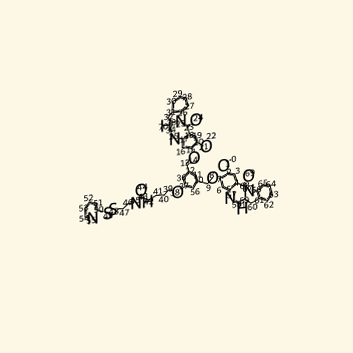 COc1cc2c(cc1OCc1cc(COc3cc4c(cc3OC)C(=O)N3c5ccccc5C[C@H]3C=N4)cc(OCCCCC(=O)NCCSSc3ccccn3)c1)N=C[C@@H]1Cc3ccccc3N1C2=O